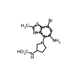 Cc1nc2c(N3CCC(NC(=O)O)C3)c(N)cc(Br)c2s1